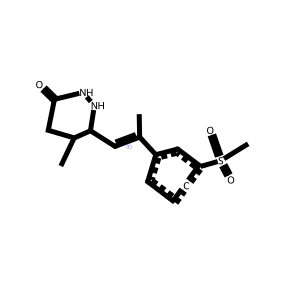 C/C(=C\C1NNC(=O)CC1C)c1cccc(S(C)(=O)=O)c1